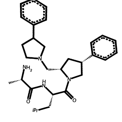 CC(C)C[C@H](NC(=O)[C@H](C)N)C(=O)N1C[C@@H](c2ccccc2)C[C@H]1CN1CCC(c2ccccc2)C1